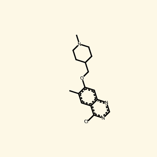 Cc1cc2c(Cl)ncnc2cc1OCC1CCN(C)CC1